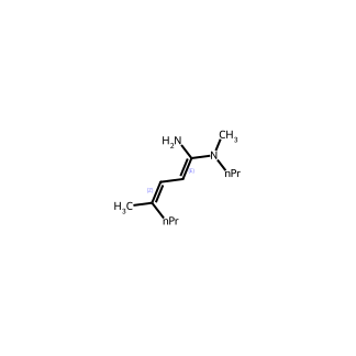 CCC/C(C)=C\C=C(/N)N(C)CCC